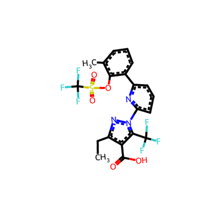 CCc1nn(-c2cccc(-c3cccc(C)c3OS(=O)(=O)C(F)(F)F)n2)c(C(F)(F)F)c1C(=O)O